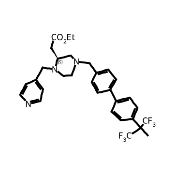 CCOC(=O)C[C@H]1CN(Cc2ccc(-c3ccc(C(C)(C(F)(F)F)C(F)(F)F)cc3)cc2)CCN1Cc1ccncc1